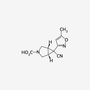 Cc1cc(C2(C#N)[C@@H]3CN(C(=O)O)C[C@@H]32)no1